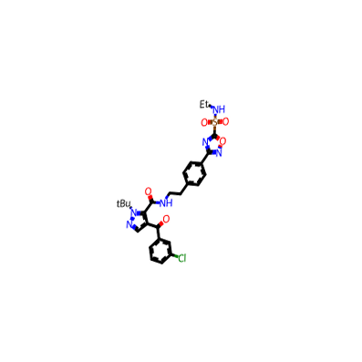 CCNS(=O)(=O)c1nc(-c2ccc(CCNC(=O)c3c(C(=O)c4cccc(Cl)c4)cnn3C(C)(C)C)cc2)no1